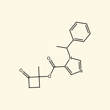 CC(c1ccccc1)n1cncc1C(=O)OC1(C)CCC1=O